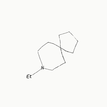 [CH2]CN1CCC2(CCCC2)CC1